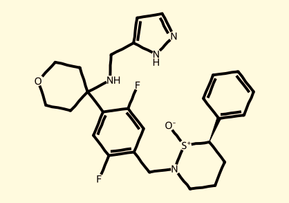 [O-][S+]1[C@@H](c2ccccc2)CCCN1Cc1cc(F)c(C2(NCc3ccn[nH]3)CCOCC2)cc1F